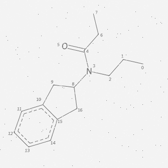 CCCN(C(=O)CC)C1Cc2ccccc2C1